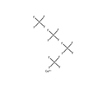 F[B-](F)(F)F.F[B-](F)(F)F.F[B-](F)(F)F.F[B-](F)(F)F.[Ge+4]